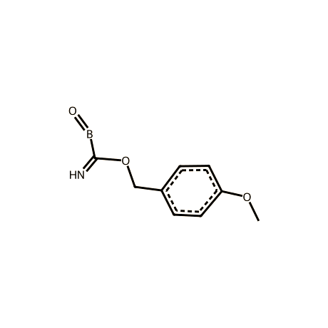 COc1ccc(COC(=N)B=O)cc1